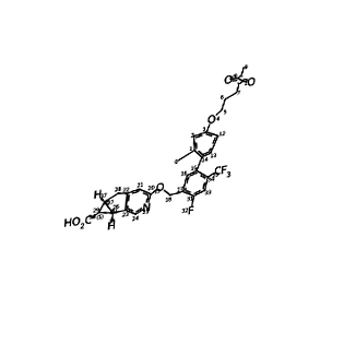 Cc1cc(OCCCS(C)(=O)=O)ccc1-c1cc(COc2cc3c(cn2)[C@H]2[C@@H](C3)[C@@H]2C(=O)O)c(F)cc1C(F)(F)F